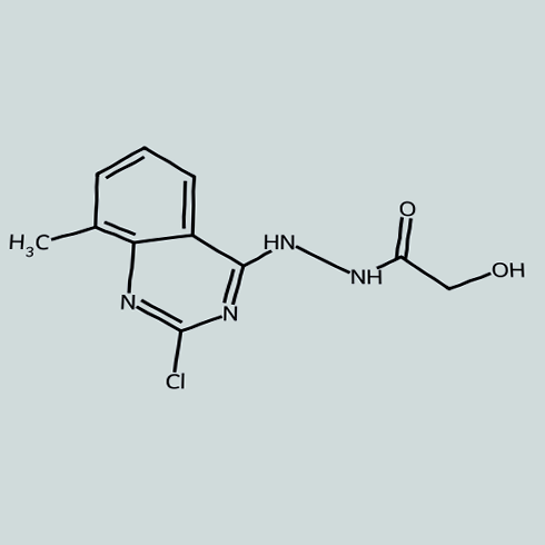 Cc1cccc2c(NNC(=O)CO)nc(Cl)nc12